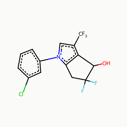 OC1c2c(C(F)(F)F)cn(-c3cccc(Cl)c3)c2CC1(F)F